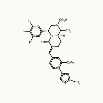 COc1cc(C=C2CC[C@@H]3C(C)N(C(=O)O)C[C@H](c4cc(F)c(F)c(F)c4)N3C2=O)ccc1-n1cnc(C)c1